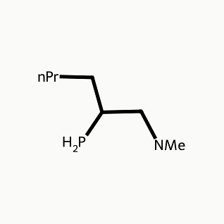 CCCCC(P)CNC